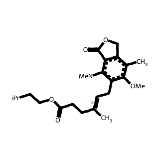 CNc1c(C/C=C(\C)CCC(=O)OCCC(C)C)c(OC)c(C)c2c1C(=O)OC2